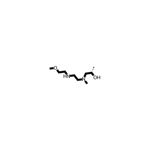 COCCNCCN(C)C[C@H](C)O